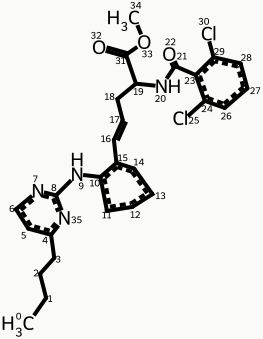 CCCCc1ccnc(Nc2ccccc2/C=C/CC(NC(=O)c2c(Cl)cccc2Cl)C(=O)OC)n1